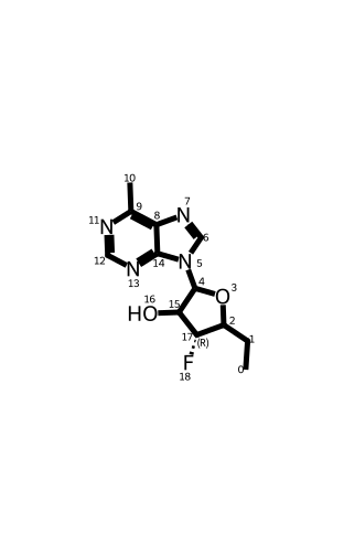 CCC1OC(n2cnc3c(C)ncnc32)C(O)[C@H]1F